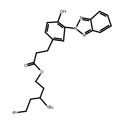 CC(C)CCC(CCOC(=O)CCc1ccc(O)c(-n2nc3ccccc3n2)c1)C(C)(C)C